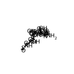 CC(=O)C(=O)O.CC(=O)SCCNC(=O)CCNC(=O)C(O)C(C)(C)COP(=O)(O)OP(=O)(O)OC[C@H]1O[C@@H](n2cnc3c(N)ncnc32)[C@H](O)[C@@H]1OP(=O)(O)O